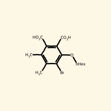 CCCCCCOc1c(Br)c(C)c(C)c(C(=O)O)c1C(=O)O